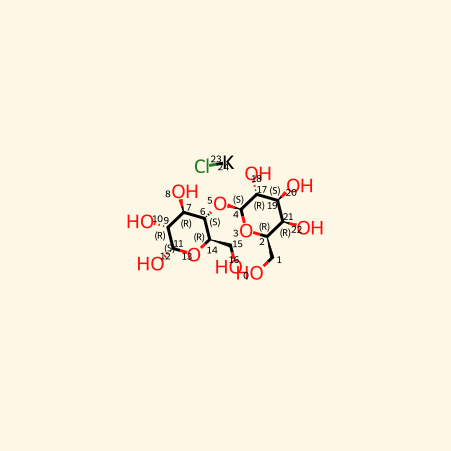 OC[C@H]1O[C@@H](O[C@H]2[C@H](O)[C@@H](O)[C@@H](O)O[C@@H]2CO)[C@H](O)[C@@H](O)[C@H]1O.[Cl][K]